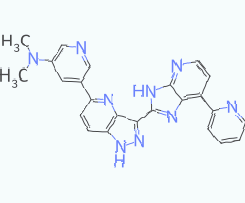 CN(C)c1cncc(-c2ccc3[nH]nc(-c4nc5c(-c6ccccn6)ccnc5[nH]4)c3n2)c1